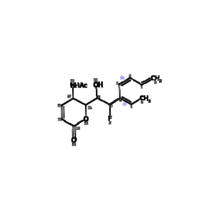 C=C/C=C\C(=C/C)C(F)C(O)C1OC(=O)C=CC1NC(C)=O